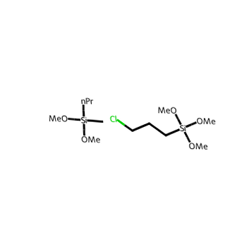 CCC[Si](C)(OC)OC.CO[Si](CCCCl)(OC)OC